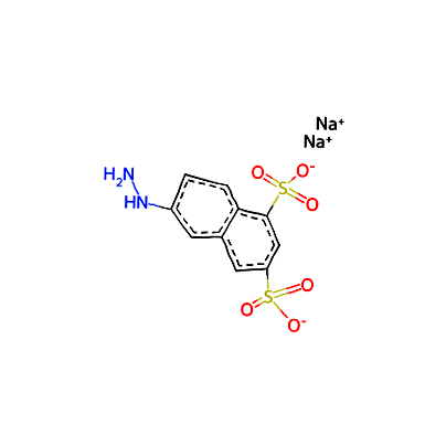 NNc1ccc2c(S(=O)(=O)[O-])cc(S(=O)(=O)[O-])cc2c1.[Na+].[Na+]